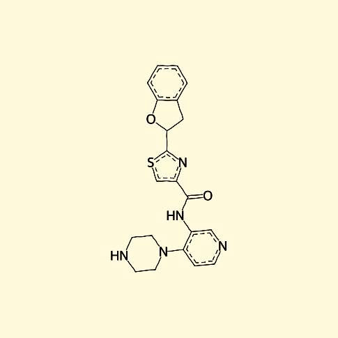 O=C(Nc1cnccc1N1CCNCC1)c1csc(C2Cc3ccccc3O2)n1